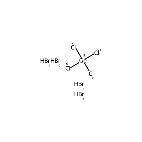 Br.Br.Br.Br.[Cl][Ge]([Cl])([Cl])[Cl]